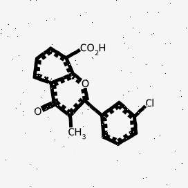 Cc1c(-c2cccc(Cl)c2)oc2c(C(=O)O)cccc2c1=O